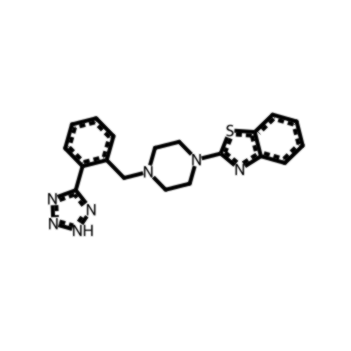 c1ccc(-c2nn[nH]n2)c(CN2CCN(c3nc4ccccc4s3)CC2)c1